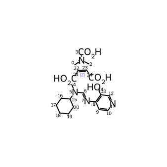 CN(C)C(=O)O.CN(C=Nc1ccncc1O)C1CCCCC1.O=C(O)/C=C\C(=O)O